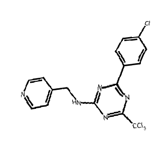 Clc1ccc(-c2nc(NCc3ccncc3)nc(C(Cl)(Cl)Cl)n2)cc1